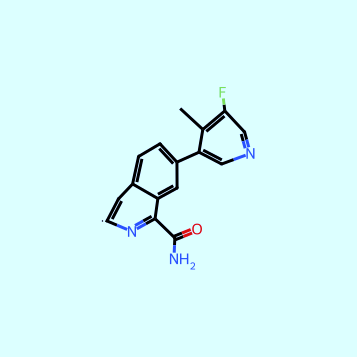 Cc1c(F)cncc1-c1ccc2c[c]nc(C(N)=O)c2c1